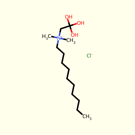 CCCCCCCCCC[N+](C)(C)CC(O)(O)O.[Cl-]